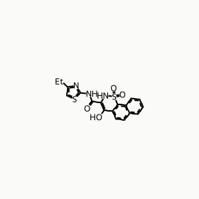 CCc1csc(NC(=O)C2=C(O)c3ccc4ccccc4c3S(=O)(=O)N2)n1